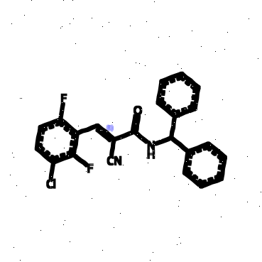 N#C/C(=C\c1c(F)ccc(Cl)c1F)C(=O)NC(c1ccccc1)c1ccccc1